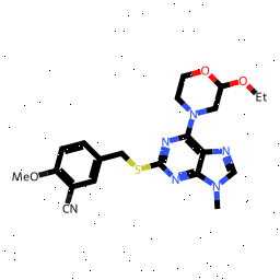 CCOC1CN(c2nc(SCc3ccc(OC)c(C#N)c3)nc3c2ncn3C)CCO1